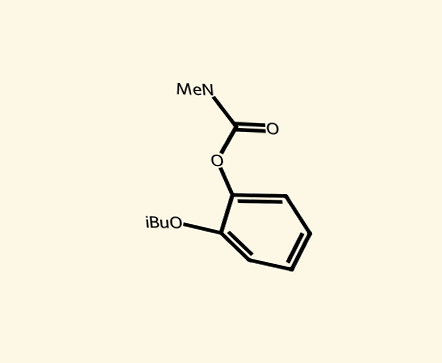 CNC(=O)Oc1ccccc1OCC(C)C